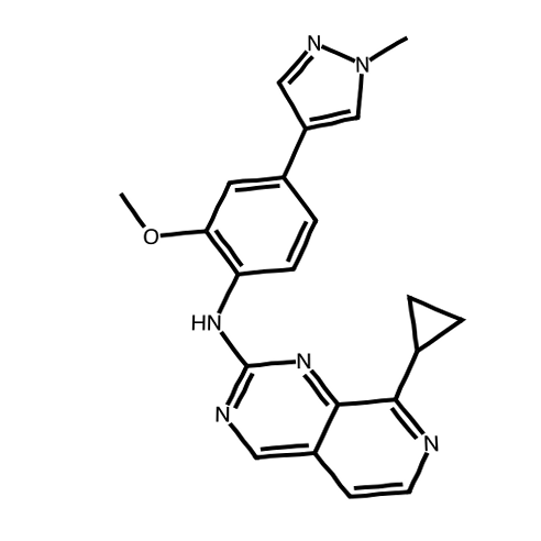 COc1cc(-c2cnn(C)c2)ccc1Nc1ncc2ccnc(C3CC3)c2n1